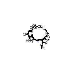 CCOc1nn(C)c2c1/C=C/c1n[nH]c3c(Cl)cc(cc13)S(=O)(=O)[C@@H](C)COCCN(C)C2=O